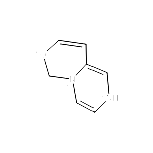 C1=CN2COC=CC2=CN1